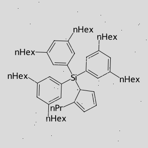 CCCCCCc1cc(CCCCCC)cc([Si]([C]2C=CC=C2CCC)(c2cc(CCCCCC)cc(CCCCCC)c2)c2cc(CCCCCC)cc(CCCCCC)c2)c1